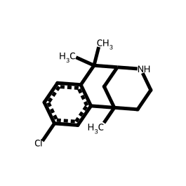 CC12CCNC(C1)C(C)(C)c1ccc(Cl)cc12